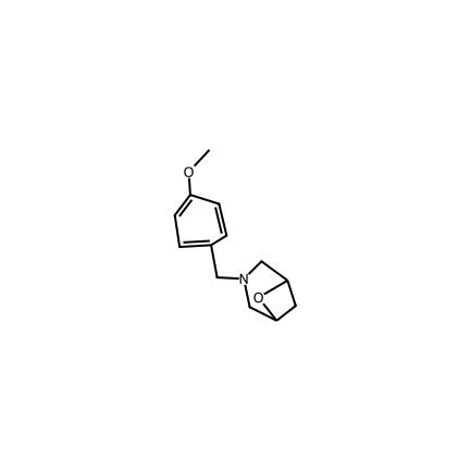 COc1ccc(CN2CC3CC(C2)O3)cc1